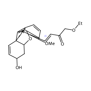 CCOCC(=O)/C=C/N1CCC23C=CC(O)CC2Oc2c(OC)ccc(c23)C1